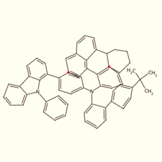 CC(C)(C)c1ccc(-c2ccccc2N(c2ccc(-c3cccc4c5ccccc5n(-c5ccccc5)c34)cc2)c2ccccc2-c2cccc3cccc(C4CCCCC4)c23)cc1